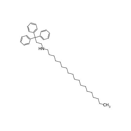 CCCCCCCCCCCCCCCCCCCNCCC(c1ccccc1)(c1ccccc1)c1ccccc1